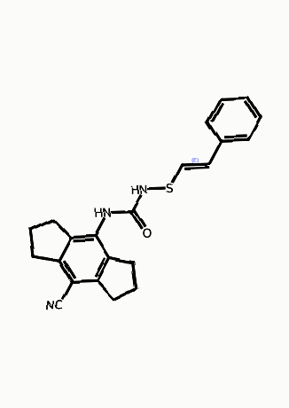 N#Cc1c2c(c(NC(=O)NS/C=C/c3ccccc3)c3c1CCC3)CCC2